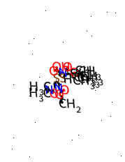 C=CCOC(=O)N1C[C@@H](SC2=C(C(=O)O)N3C(=O)[C@@H]([C@H](CC)O[Si](C)(C)C(C)(C)C)[C@H]3S2)C[C@H]1C(=O)N(C)C